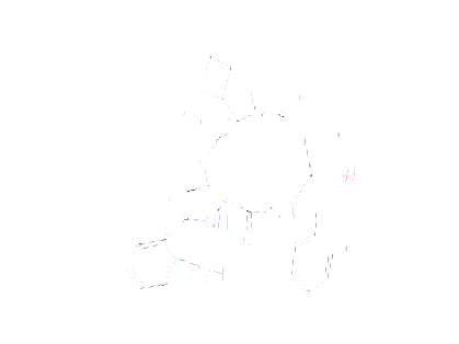 C[C@H]1OC(=O)C(C2CCO2)NC(=O)[C@H](C)[C@H](O)[C@H](Cc2ccccc2)NC(=O)[C@H]1NC(=O)c1ccccc1O